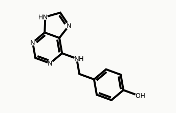 Oc1ccc(CNc2ncnc3[nH]cnc23)cc1